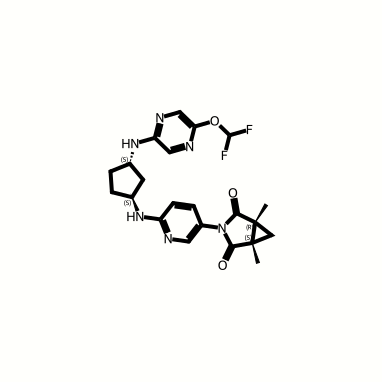 C[C@@]12C[C@]1(C)C(=O)N(c1ccc(N[C@H]3CC[C@H](Nc4cnc(OC(F)F)cn4)C3)nc1)C2=O